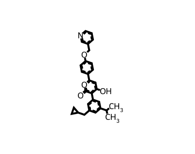 CC(C)c1cc(CC2CC2)cc(-c2c(O)cc(-c3ccc(OCc4cccnc4)cc3)oc2=O)c1